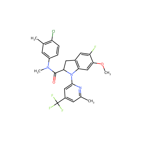 COc1cc2c(cc1F)CC(C(=O)N(C)c1ccc(Cl)c(C)c1)N2c1cc(C(F)(F)F)cc(C)n1